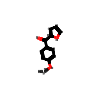 O=C(c1[c]cc(OS(=O)(=O)O)cc1)c1ccco1